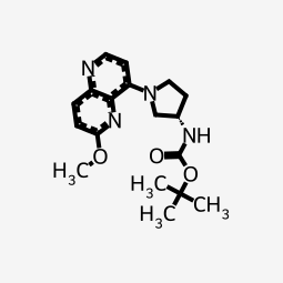 COc1ccc2nccc(N3CC[C@H](NC(=O)OC(C)(C)C)C3)c2n1